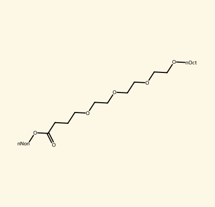 CCCCCCCCCOC(=O)CCCOCCOCCOCCOCCCCCCCC